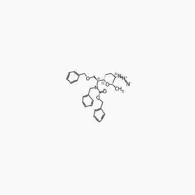 CC1O[C@H]([C@H](COCc2ccccc2)N(Cc2ccccc2)C(=O)OCc2ccccc2)CC[C@@H]1N=[N+]=[N-]